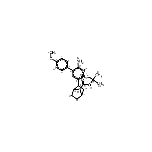 COc1ccc(-c2cc(C3CC4CCC3N4C(=O)OC(C)(C)C)cnc2N)cn1